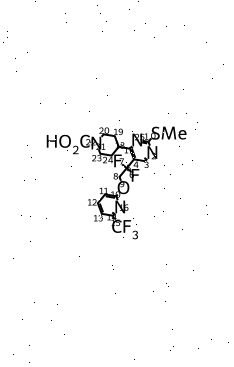 CSc1ncc(C(F)(F)COc2cccc(C(F)(F)F)n2)c(C2CCN(C(=O)O)CC2)n1